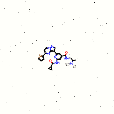 CCN(CC)C(C)CNC(=O)c1cc(NC(=O)C2CC2)nc(-c2cnn3ccc(-c4cccs4)nc23)c1